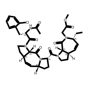 CC[C@@H]1C=C[C@H]2CCN(C(=O)[C@@H]3CC[C@@H]4C=C[C@H]5CCN(C(=O)[C@H](Cc6ccccc6Cl)NC(C)=O)[C@@H]5C(=O)N43)[C@@H]2C(=O)N1CC(=O)OC